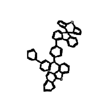 c1ccc(-c2cccc(N(c3ccc(-c4cccc5c4-c4ccccc4C54c5ccccc5Oc5ccccc54)cc3)c3cccc4oc5c6ccccc6ccc5c34)c2)cc1